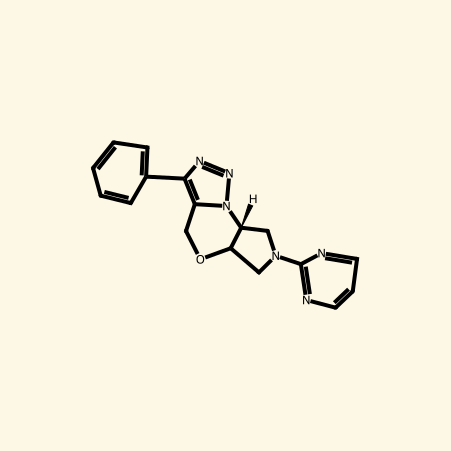 c1ccc(-c2nnn3c2COC2CN(c4ncccn4)C[C@H]23)cc1